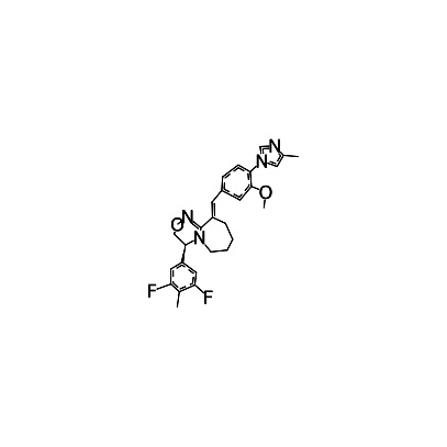 COc1cc(/C=C2\CCCCN3C2=NOC[C@@H]3c2cc(F)c(C)c(F)c2)ccc1-n1cnc(C)c1